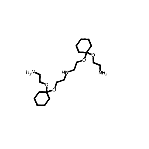 NCCOC1(OCCNCCOC2(OCCN)CCCCC2)CCCCC1